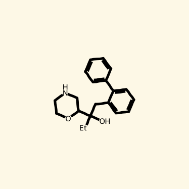 CCC(O)(Cc1ccccc1-c1ccccc1)C1CNCCO1